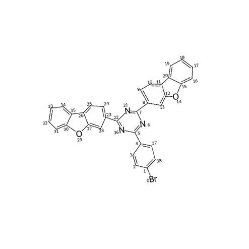 Brc1ccc(-c2nc(-c3ccc4c(c3)oc3ccccc34)nc(-c3ccc4c(c3)oc3ccccc34)n2)cc1